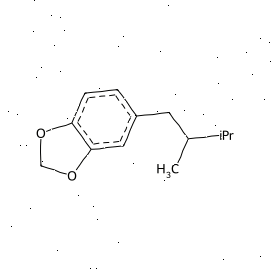 CC(C)C(C)Cc1ccc2c(c1)OCO2